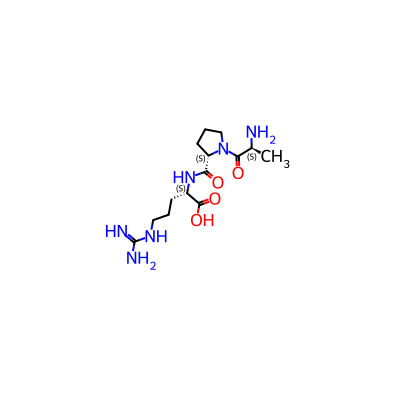 C[C@H](N)C(=O)N1CCC[C@H]1C(=O)N[C@@H](CCCNC(=N)N)C(=O)O